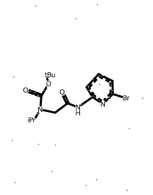 CC(C)N(CC(=O)Nc1cccc(Br)n1)C(=O)OC(C)(C)C